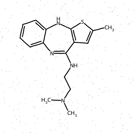 Cc1cc2c(s1)Nc1ccccc1N=C2NCCN(C)C